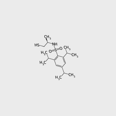 CC(C)c1cc(C(C)C)c(S(=O)(=O)N[C@H](C)CS)c(C(C)C)c1